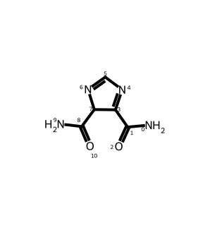 NC(=O)C1=NC=NC1C(N)=O